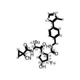 Cc1ncsc1-c1ccc(CNC(=O)[C@@H]2[C@H](F)[C@@H](O)CN2C(=O)[C@@H](NC(=O)C2(C#N)CC2)C(C)(C)C)cc1